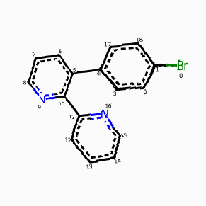 Brc1ccc(-c2cccnc2-c2ccccn2)cc1